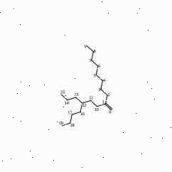 C=C(CCCCCCCC)CCC(CCC)CCCC